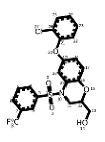 O=S(=O)(c1cccc(C(F)(F)F)c1)N1CC(CO)Oc2ccc(Oc3ccccc3Cl)cc21